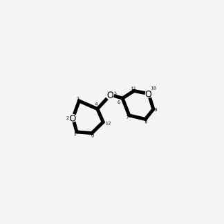 C1COCC(OC2CCCOC2)C1